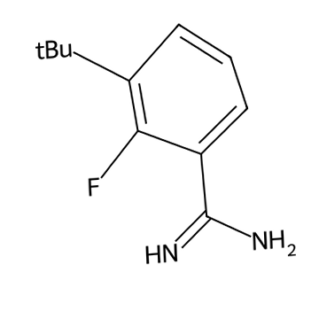 CC(C)(C)c1cccc(C(=N)N)c1F